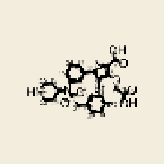 O=C(O)COc1c(C(=O)O)sc(-c2cccc(N(C3CCNCC3)S(=O)(=O)Cc3ccc(F)cc3)c2)c1Br